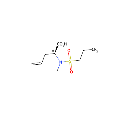 C=CC[C@@H](C(=O)O)N(C)S(=O)(=O)CCC(F)(F)F